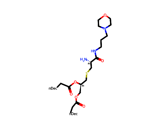 CCCCCCCCCCCC(=O)OC[C@H](CSC[C@H](N)C(=O)NCCCN1CCOCC1)OC(=O)CCCCCCCCCCC